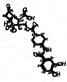 C[C@]1(COC(=O)N2CCC(NC(=O)c3ccc(O)c(O)c3)CC2)[C@H](C(=O)O)N2C(=O)C[C@H]2S1(=O)=O